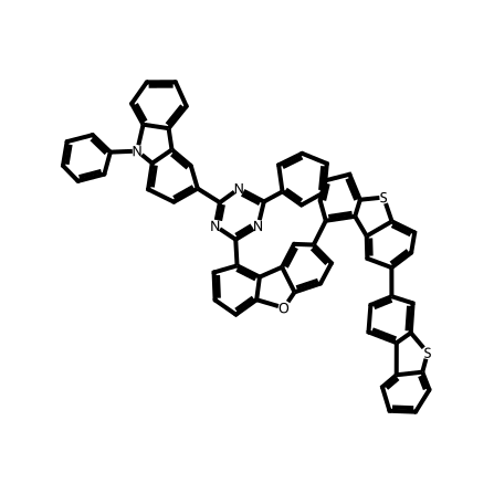 c1ccc(-c2nc(-c3ccc4c(c3)c3ccccc3n4-c3ccccc3)nc(-c3cccc4oc5ccc(-c6cccc7sc8ccc(-c9ccc%10c(c9)sc9ccccc9%10)cc8c67)cc5c34)n2)cc1